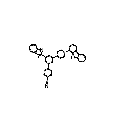 N#Cc1ccc(-c2cc(-c3ccc(-c4cccc5c4oc4ccccc45)cc3)cc(-c3nc4ccccc4s3)c2)cc1